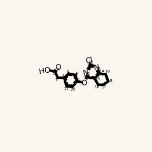 O=C(O)Cc1ccc(Oc2nc(Cl)nc3c2CCCC3)cc1